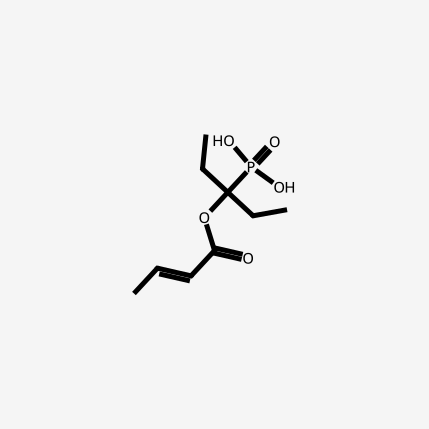 CC=CC(=O)OC(CC)(CC)P(=O)(O)O